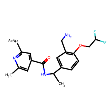 CC(=O)Nc1cc(C(=O)NC(C)c2ccc(OCC(F)F)c(CN)c2)cc(C)n1